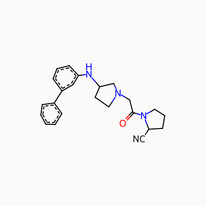 N#CC1CCCN1C(=O)CN1CCC(Nc2cccc(-c3ccccc3)c2)C1